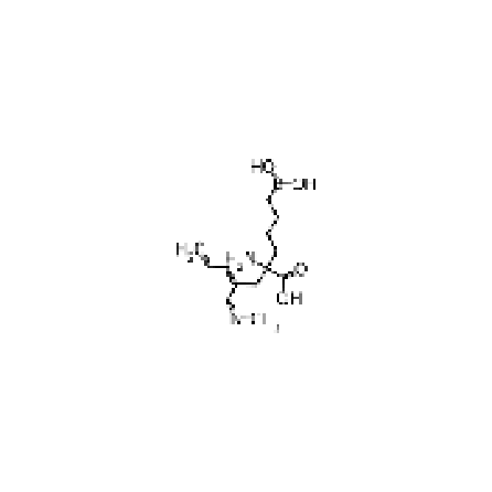 C=C/C=C(\C=N/C)CC(N)(CCCCB(O)O)C(=O)O